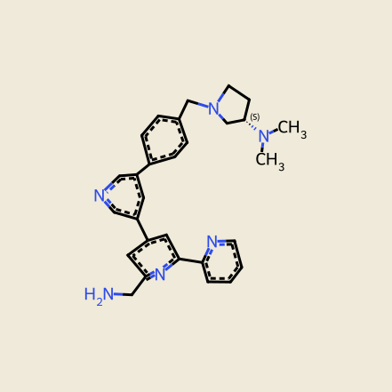 CN(C)[C@H]1CCN(Cc2ccc(-c3cncc(-c4cc(CN)nc(-c5ccccn5)c4)c3)cc2)C1